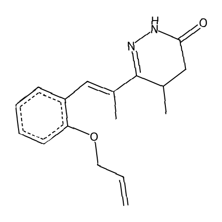 C=CCOc1ccccc1C=C(C)C1=NNC(=O)CC1C